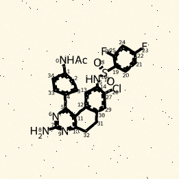 CC(=O)Nc1ccc(-c2nc(N)nc3c2-c2cc(NS(=O)(=O)c4ccc(F)cc4F)c(Cl)cc2CC3)cc1